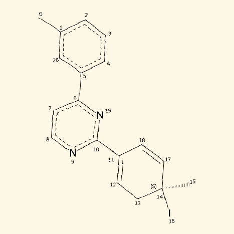 Cc1cccc(-c2ccnc(C3=CC[C@](C)(I)C=C3)n2)c1